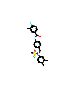 Cc1ccc(N(Cc2ccc(NC(=O)c3ccc(F)c(C)c3)cc2)S(C)(=O)=O)cc1C